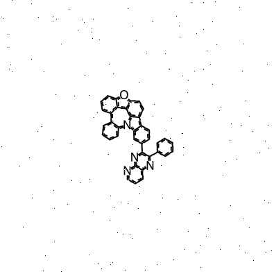 c1ccc(-c2nc3cccnc3nc2-c2ccc3c4ccc5oc6cccc7c8ccccc8n(c3c2)c4c5c67)cc1